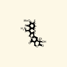 CC[C@@]1(O)C(=O)OCc2c1cc1n(c2=O)Cc2c-1nc1cc(F)c(OC)c(F)c1c2CN